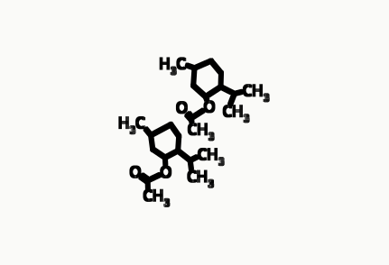 CC(=O)OC1CC(C)CCC1C(C)C.CC(=O)OC1CC(C)CCC1C(C)C